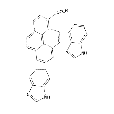 O=C(O)c1ccc2ccc3cccc4ccc1c2c34.c1ccc2[nH]cnc2c1.c1ccc2[nH]cnc2c1